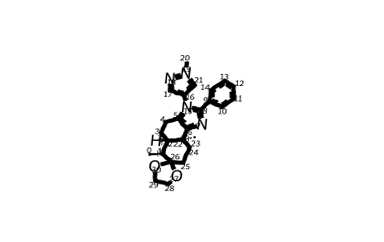 C[C@H]1[C@@H]2CCc3c(nc(-c4ccccc4)n3-c3cnn(C)c3)[C@@]2(C)CCC12OCCO2